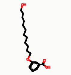 O=C(O)c1cccc(OCCCCCCCCCCCCO)c1